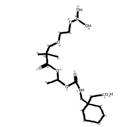 CC(OC(=O)NCC1(CC(=O)O)CCCCC1)OC(=O)C(C)(C)COCCON(O)O